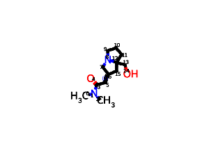 CN(C)C(=O)/C=C1\CN2CCCC2(CO)C1